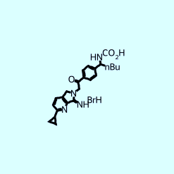 Br.CCCCC(NC(=O)O)c1ccc(C(=O)CN2Cc3ccc(C4CC4)nc3C2=N)cc1